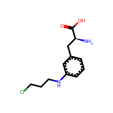 N[C@@H](Cc1cccc(NCCCCl)c1)C(=O)O